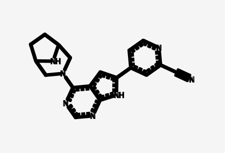 N#Cc1cc(-c2cc3c(N4CC5CCC(C4)N5)ncnc3[nH]2)ccn1